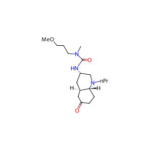 CCCN1C[C@@H](NC(=O)N(C)CCCOC)C[C@@H]2CC(=O)CC[C@H]21